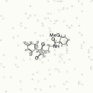 COc1ccccc1C(=O)NCCC1CC(=O)C(c2c(C)cc(C)cc2C)C1=O